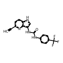 C#Cc1ccc2[nH]cc(NC(=O)Nc3ccc(C(F)(F)F)cc3)c2n1